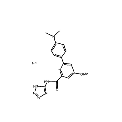 COc1cc(C(=O)Nc2nnn[nH]2)nc(-c2ccc(N(C)C)cc2)c1.[Na]